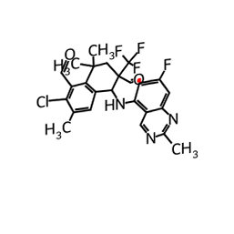 Cc1ncc2c(NC3c4cc(C)c(Cl)c(C=O)c4C(C)(C)CC3(C=O)C(F)(F)F)cc(F)cc2n1